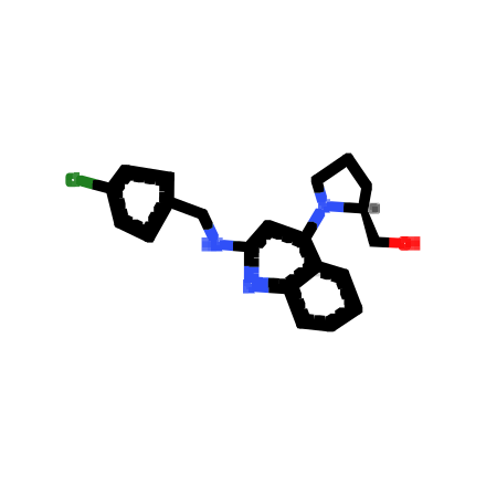 OC[C@@H]1CCCN1c1cc(NCc2ccc(Cl)cc2)nc2ccccc12